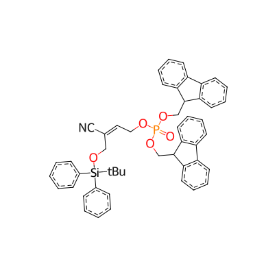 CC(C)(C)[Si](OCC(C#N)=CCOP(=O)(OCC1c2ccccc2-c2ccccc21)OCC1c2ccccc2-c2ccccc21)(c1ccccc1)c1ccccc1